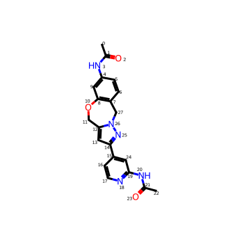 CC(=O)Nc1ccc2c(c1)OCc1cc(-c3ccnc(NC(C)=O)c3)nn1C2